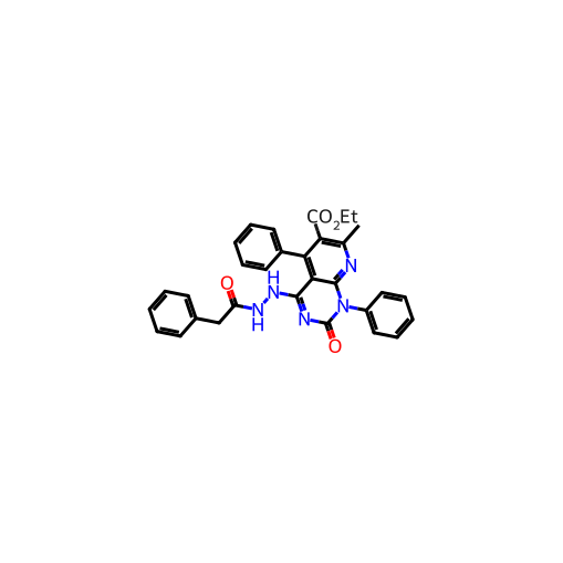 CCOC(=O)c1c(C)nc2c(c(NNC(=O)Cc3ccccc3)nc(=O)n2-c2ccccc2)c1-c1ccccc1